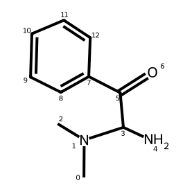 CN(C)C(N)C(=O)c1ccccc1